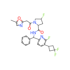 Cc1cnc(CC(=O)N2CC(F)CC2C(=O)NC(c2ccccc2)c2ccc(C3CC(F)(F)C3)c(F)n2)o1